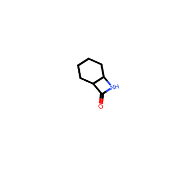 O=C1NC2CCCCC12